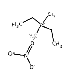 CC[P+](C)(C)CC.O=[N+]([O-])[O-]